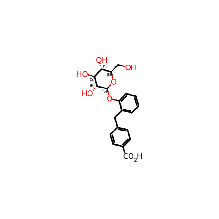 O=C(O)c1ccc(Cc2ccccc2O[C@@H]2O[C@H](CO)[C@@H](O)[C@H](O)[C@H]2O)cc1